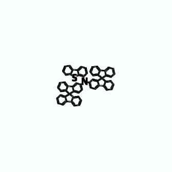 c1ccc2c(c1)-c1ccccc1C21c2ccccc2-c2cc(N(c3ccc4c(c3)C3(c5ccccc5-c5ccccc53)c3ccccc3-4)c3cccc4c3sc3ccccc34)ccc21